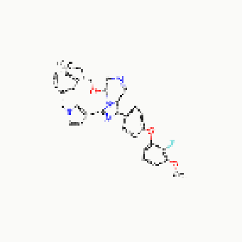 CCCCOc1cncc2c(-c3ccc(Oc4cccc(OC)c4F)cc3)nc(-c3ccn(Cc4ccccc4)c3)n12